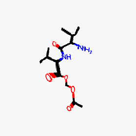 CC(=O)OCOC(=O)C(NC(=O)C(N)C(C)C)C(C)C